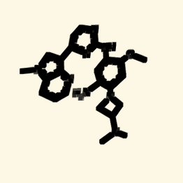 COc1cc(N2CC(N(C)C)C2)c(N)cc1Nc1nccc(-c2cn(C)c3cccnc23)n1